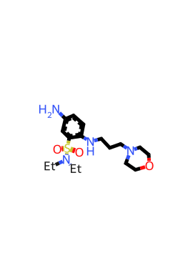 CCN(CC)S(=O)(=O)c1cc(N)ccc1NCCCN1CCOCC1